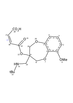 COc1cccc2c1OCC(CNC(C)(C)C)(OC(=O)/C=C\C(=O)O)CO2